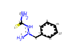 NC(=S)NN(N)Cc1ccccc1